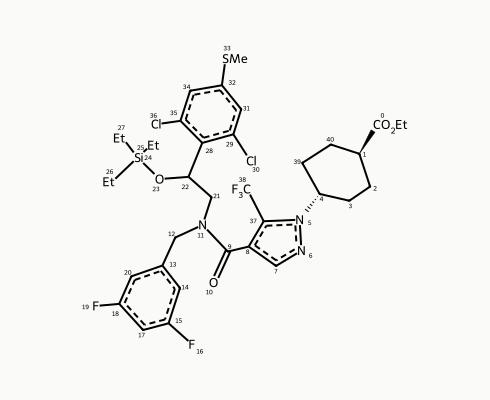 CCOC(=O)[C@H]1CC[C@H](n2ncc(C(=O)N(Cc3cc(F)cc(F)c3)CC(O[Si](CC)(CC)CC)c3c(Cl)cc(SC)cc3Cl)c2C(F)(F)F)CC1